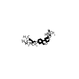 CC(C)CC(C)(N)COc1ccc2c(c1)COc1cnc(NS(C)(=O)=O)cc1-2